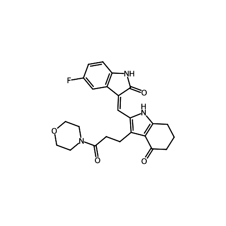 O=C1Nc2ccc(F)cc2/C1=C/c1[nH]c2c(c1CCC(=O)N1CCOCC1)C(=O)CCC2